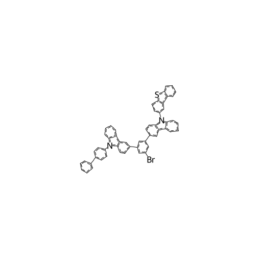 Brc1cc(-c2ccc3c(c2)c2ccccc2n3-c2ccc(-c3ccccc3)cc2)cc(-c2ccc3c(c2)c2ccccc2n3-c2ccc3sc4ccccc4c3c2)c1